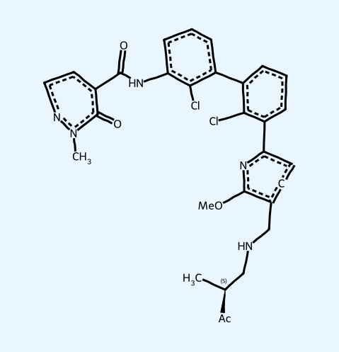 COc1nc(-c2cccc(-c3cccc(NC(=O)c4ccnn(C)c4=O)c3Cl)c2Cl)ccc1CNC[C@H](C)C(C)=O